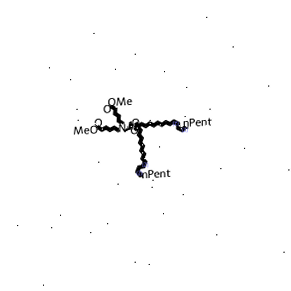 CCCCC/C=C\C/C=C\CCCCCCCCC1(CCCCCCCC/C=C\C/C=C\CCCCC)OC[C@H](CN(CCCCCC(=O)OC)CCCCCC(=O)OC)O1